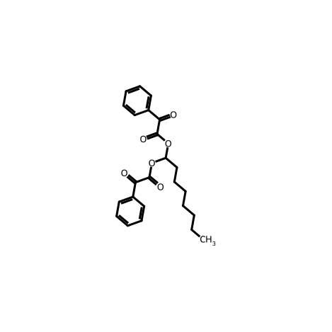 CCCCCCCC(OC(=O)C(=O)c1ccccc1)OC(=O)C(=O)c1ccccc1